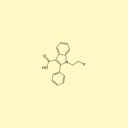 O=C(O)c1c(-c2ccccc2)n(CCF)c2ccccc12